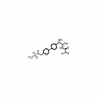 CS(=O)(=O)NCc1ccc(-c2ccc([C@H](O)[C@@H](CF)NC(=O)C(F)F)cc2)cn1